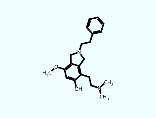 COc1cc(O)c(CCN(C)C)c2c1CN(CCc1ccccc1)C2